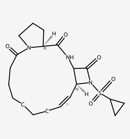 O=C1NC2C(=O)N(S(=O)(=O)C3CC3)[C@H]2/C=C\CCCCCCC(=O)N2CCC[C@@H]12